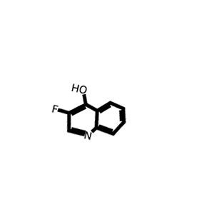 Oc1c(F)cnc2ccccc12